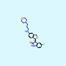 O=C1Nc2ccc(F)cc2/C1=C1\OCc2cc(NCCCN3CCOCC3)ccc21